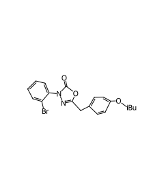 CCC(C)Oc1ccc(Cc2nn(-c3ccccc3Br)c(=O)o2)cc1